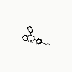 Cc1ccc(C(O)CC(c2ccccn2)N2CCCC2)cc1